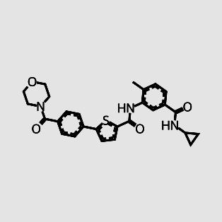 Cc1ccc(C(=O)NC2CC2)cc1NC(=O)c1ccc(-c2ccc(C(=O)N3CCOCC3)cc2)s1